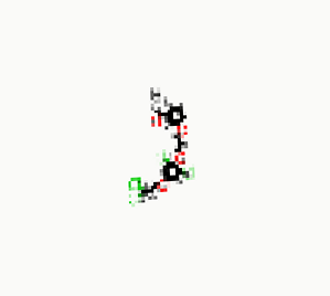 CC(=O)c1cccc(OCCCOc2c(Cl)cc(OCC=C(Cl)Cl)cc2Cl)c1